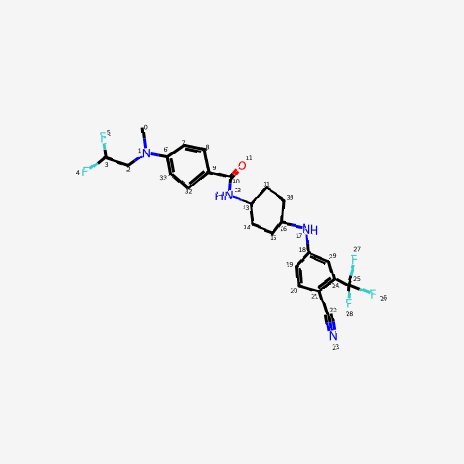 CN(CC(F)F)c1ccc(C(=O)NC2CCC(Nc3ccc(C#N)c(C(F)(F)F)c3)CC2)cc1